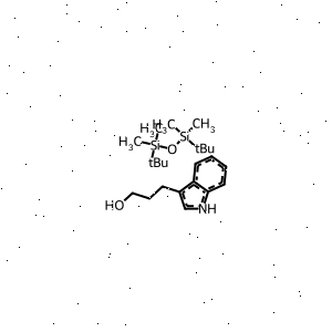 CC(C)(C)[Si](C)(C)O[Si](C)(C)C(C)(C)C.OCCCc1c[nH]c2ccccc12